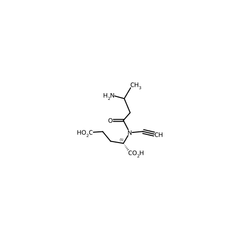 C#CN(C(=O)CC(C)N)[C@@H](CCC(=O)O)C(=O)O